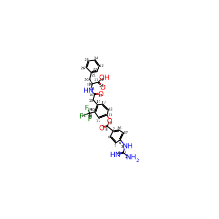 N=C(N)Nc1ccc(C(=O)Oc2ccc(CC(=O)N[C@@H](Cc3ccccc3)C(=O)O)c(C(F)(F)F)c2)cc1